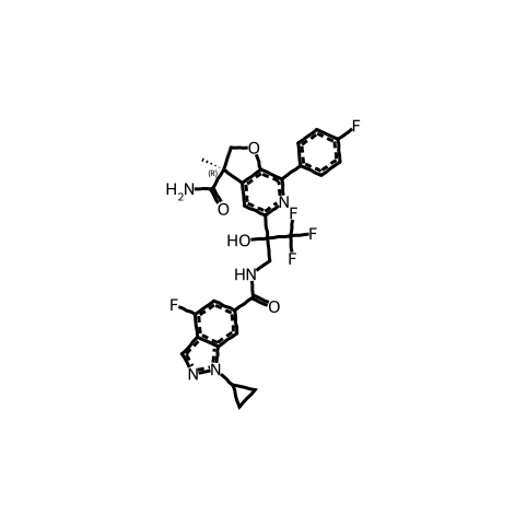 C[C@]1(C(N)=O)COc2c1cc(C(O)(CNC(=O)c1cc(F)c3cnn(C4CC4)c3c1)C(F)(F)F)nc2-c1ccc(F)cc1